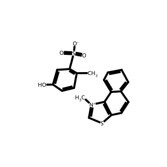 C[n+]1csc2ccc3ccccc3c21.Cc1ccc(O)cc1S(=O)(=O)[O-]